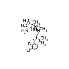 C=C(C)C(CCN(C)NNC(C)(CCN)C(C)C)Nc1cccc(Cl)c1F